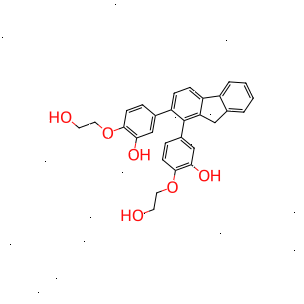 OCCOc1ccc(-c2ccc3c(c2-c2ccc(OCCO)c(O)c2)Cc2ccccc2-3)cc1O